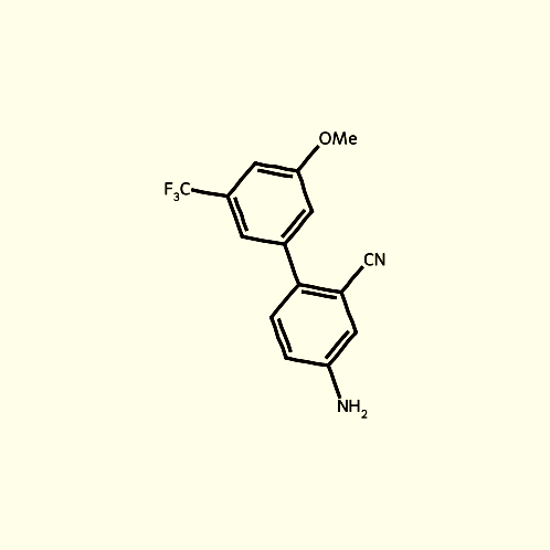 COc1cc(-c2ccc(N)cc2C#N)cc(C(F)(F)F)c1